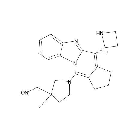 CC1(CN=O)CCN(c2c3c(c([C@H]4CCN4)c4nc5ccccc5n24)CCC3)C1